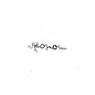 CCCCCCCCCOc1ccc(/C=C/C(=O)OC2CCC(NC(=O)C(C)(C)CC)CC2)cc1